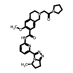 COc1cc2c(cc1C(=O)Nc1cccc(-c3nnc4n3[C@H](C)CC4)n1)CN(CC(=O)N1CCCC1)CC2